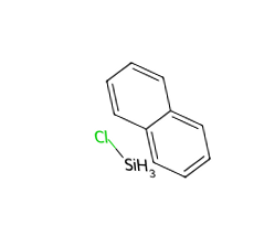 [SiH3]Cl.c1ccc2ccccc2c1